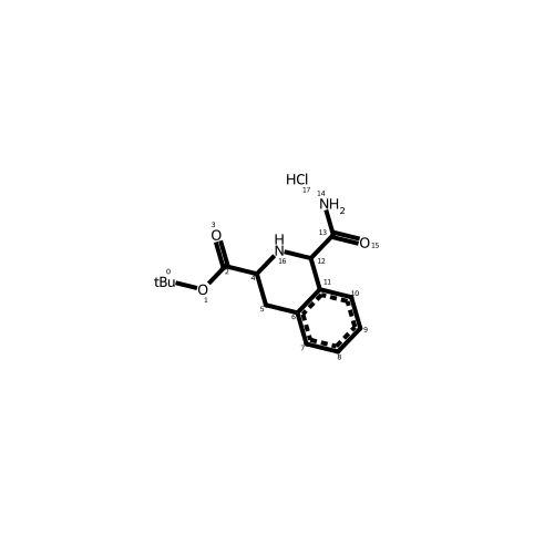 CC(C)(C)OC(=O)C1Cc2ccccc2C(C(N)=O)N1.Cl